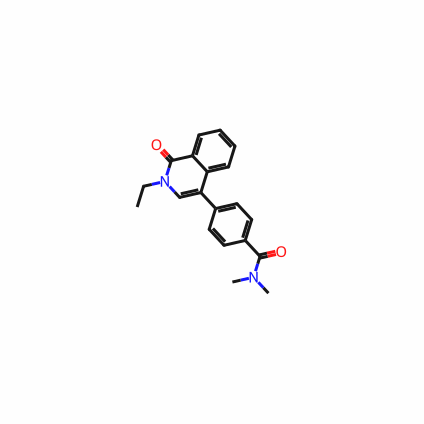 CCn1cc(-c2ccc(C(=O)N(C)C)cc2)c2ccccc2c1=O